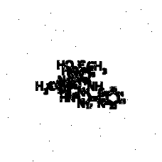 CO[C@H]1[C@H](Nc2nc(Nc3cc(C)nc(C)c3)ncc2-c2nc3ccccc3s2)C[C@](C)(C(=O)O)[C@H]1O